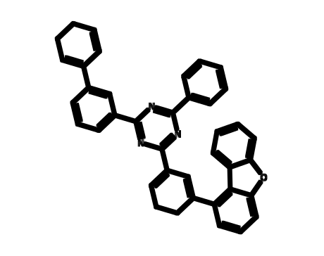 C1=CC(c2cccc(-c3nc(C4=CCCC(c5cccc6oc7ccccc7c56)=C4)nc(-c4ccccc4)n3)c2)=CCC1